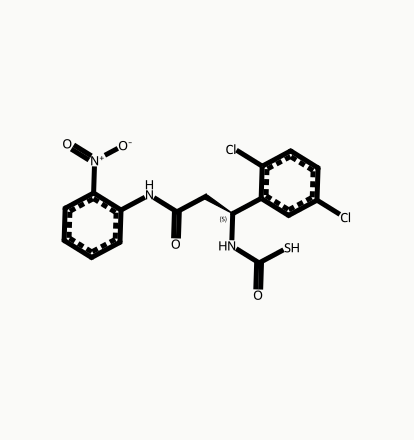 O=C(S)N[C@@H](CC(=O)Nc1ccccc1[N+](=O)[O-])c1cc(Cl)ccc1Cl